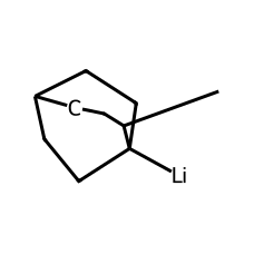 [Li][C]12CCC(CCC1C)CC2